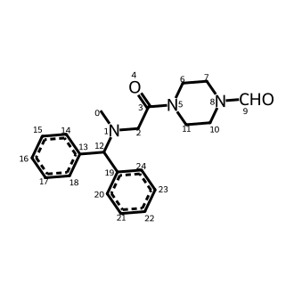 CN(CC(=O)N1CCN(C=O)CC1)C(c1ccccc1)c1ccccc1